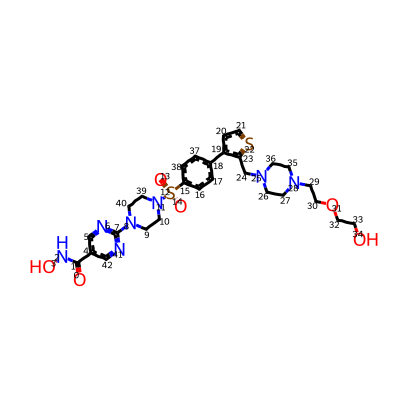 O=C(NO)c1cnc(N2CCN(S(=O)(=O)c3ccc(-c4ccsc4CN4CCN(CCOCCO)CC4)cc3)CC2)nc1